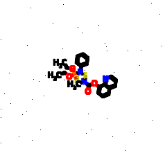 CCOP(=S)(OCC)N(SN(C)C(=O)Oc1cccc2cccnc12)c1ccccc1